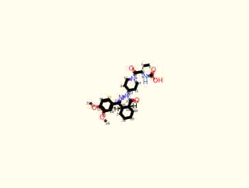 CC[C@H](NC(=O)O)C(=O)N1CCC(N2N=C(c3ccc(OC)c(OC)c3)[C@H]3CCCC[C@H]3C2=O)CC1